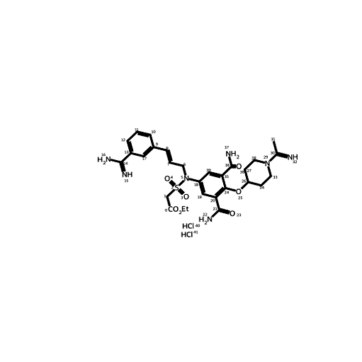 CCOC(=O)CS(=O)(=O)N(C/C=C/c1cccc(C(=N)N)c1)c1cc(C(N)=O)c(OC2CCN(C(C)=N)CC2)c(C(N)=O)c1.Cl.Cl